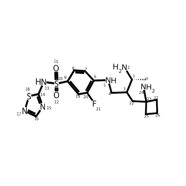 C[C@@H](N)C(CNc1ccc(S(=O)(=O)Nc2ncns2)cc1F)CC1(N)CCC1